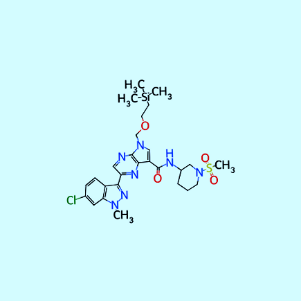 Cn1nc(-c2cnc3c(n2)c(C(=O)NC2CCCN(S(C)(=O)=O)C2)cn3COCC[Si](C)(C)C)c2ccc(Cl)cc21